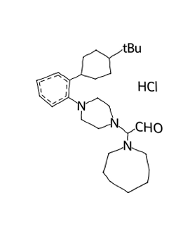 CC(C)(C)C1CCC(c2ccccc2N2CCN(C(C=O)N3CCCCCCC3)CC2)CC1.Cl